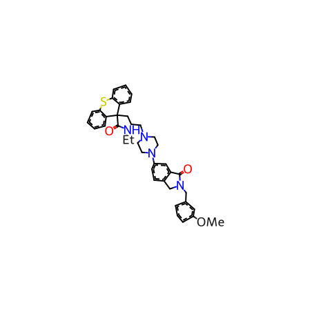 CCNC(=O)C1(CCCN2CCN(c3ccc4c(c3)C(=O)N(Cc3cccc(OC)c3)C4)CC2)c2ccccc2Sc2ccccc21